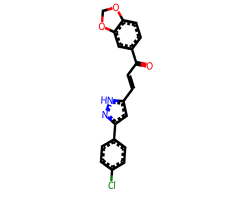 O=C(C=Cc1cc(-c2ccc(Cl)cc2)n[nH]1)c1ccc2c(c1)OCO2